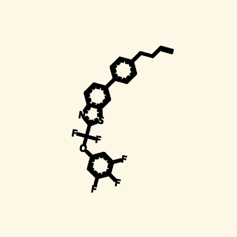 C=CCCc1ccc(-c2ccc3nc(C(F)(F)Oc4cc(F)c(F)c(F)c4)sc3c2)cc1